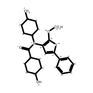 CC1CCC(N(C(=O)C2CCC(O)CC2)c2cc(-c3ccccc3)sc2OC(=O)O)CC1